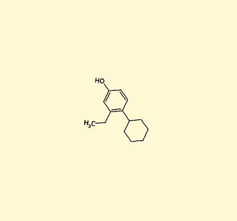 CCc1cc(O)ccc1C1CCCCC1